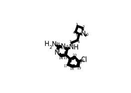 CN1CCCC1CCNc1nc(N)ncc1-c1cccc(Cl)c1